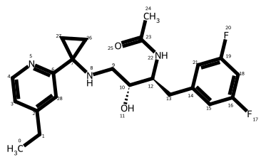 CCc1ccnc(C2(NC[C@@H](O)[C@H](Cc3cc(F)cc(F)c3)NC(C)=O)CC2)c1